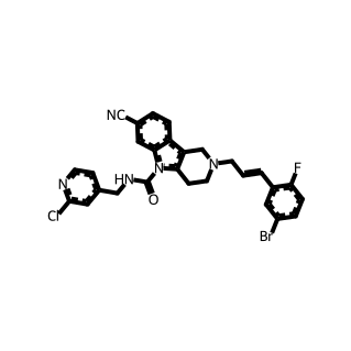 N#Cc1ccc2c3c(n(C(=O)NCc4ccnc(Cl)c4)c2c1)CCN(CC=Cc1cc(Br)ccc1F)C3